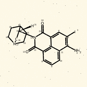 Nc1c(I)cc2c3c(cccc13)C(=O)N([C@@H]1CN3CCC1CC3)C2=O